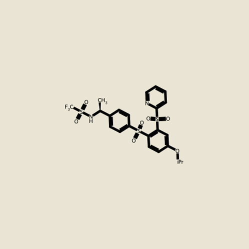 CC(C)Oc1ccc(S(=O)(=O)c2ccc([C@H](C)NS(=O)(=O)C(F)(F)F)cc2)c(S(=O)(=O)c2ccccn2)c1